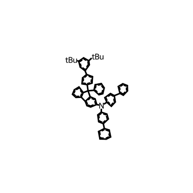 CC(C)(C)c1cc(-c2ccc(C3(c4ccccc4)c4ccccc4-c4ccc(N(c5ccc(-c6ccccc6)cc5)c5ccc(-c6ccccc6)cc5)cc43)cc2)cc(C(C)(C)C)c1